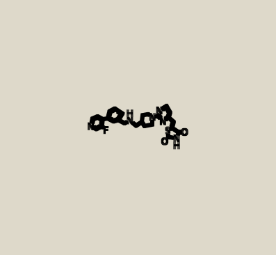 O=C1NC(=O)C(=Cc2ccnc(N3CCC(CNCc4cccc(-c5ccncc5F)c4)CC3)n2)S1